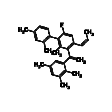 C=C(c1cc(C)cc(C)c1C)c1c(/C=C\C)cc(F)c(-c2ccc(C)cc2C)c1C